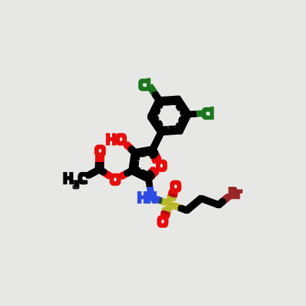 CC(=O)Oc1c(NS(=O)(=O)CCCBr)oc(-c2cc(Cl)cc(Cl)c2)c1O